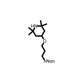 CCCCCCCCCCCCOC1CC(C)(C)NC(C)(C)C1